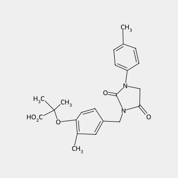 Cc1ccc(N2CC(=O)N(Cc3ccc(OC(C)(C)C(=O)O)c(C)c3)C2=O)cc1